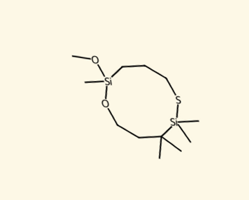 CO[Si]1(C)CCCS[Si](C)(C)C(C)(C)CCO1